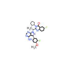 COc1ccc(-c2nn(C(C)c3nc4ccc(F)cc4c(=O)n3C3CCCC3)c3ncnc(N)c23)cc1F